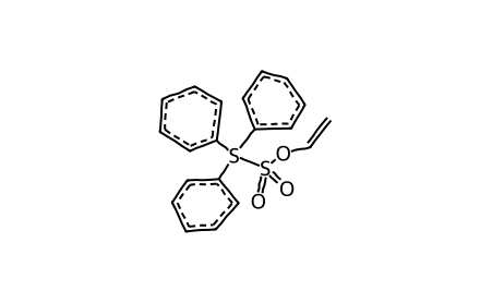 C=COS(=O)(=O)S(c1ccccc1)(c1ccccc1)c1ccccc1